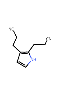 N#CCCc1cc[nH]c1CCC#N